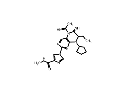 CC[C@@H]1C(=N)N(C(C)=N)c2cnc(-n3cnc(C(=O)NC)c3)nc2N1C1CCCC1